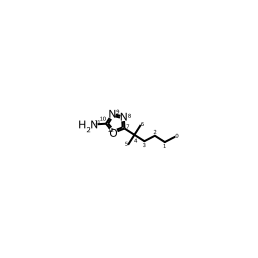 CCCCC(C)(C)c1nnc(N)o1